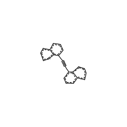 C(#Cc1cccc2ccccc12)c1cccc2ccc[c]c12